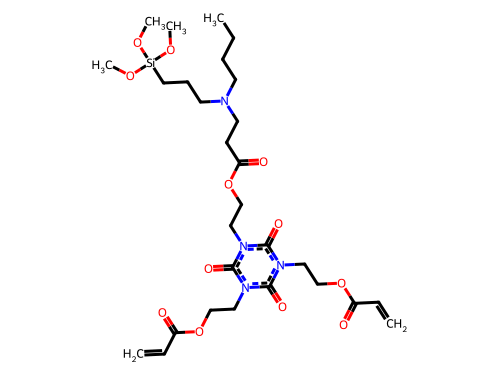 C=CC(=O)OCCn1c(=O)n(CCOC(=O)C=C)c(=O)n(CCOC(=O)CCN(CCCC)CCC[Si](OC)(OC)OC)c1=O